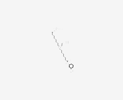 CCCCCOC(=O)CCCCCCCN(CCO)CCCCCCCC(=O)Oc1cccc(CC)c1